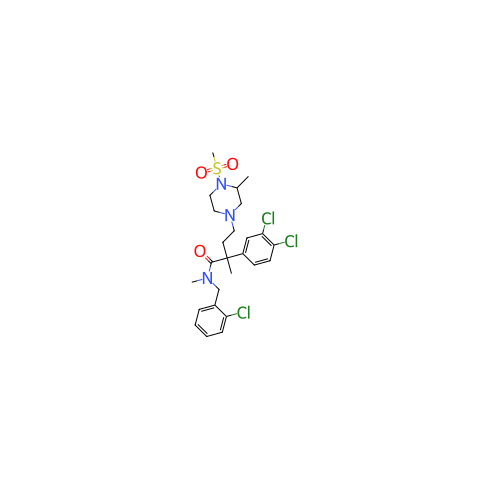 CC1CN(CCC(C)(C(=O)N(C)Cc2ccccc2Cl)c2ccc(Cl)c(Cl)c2)CCN1S(C)(=O)=O